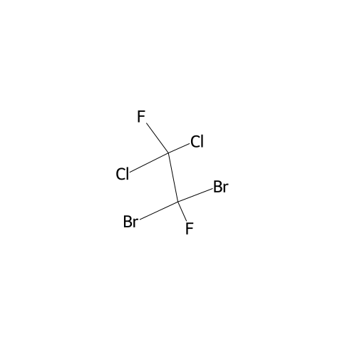 FC(Cl)(Cl)C(F)(Br)Br